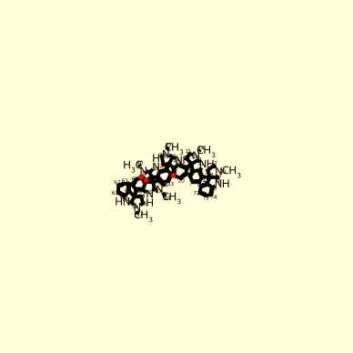 CN1CCC2(c3cccc4c3NC3N(C)CCC43c3cccc4c3NC3N(C)CCC43c3cccc4c3NC3N(C)CCC43C34CCN(C)C3Nc3c(C56CCN(C)C5Nc5ccccc56)cccc34)c3ccccc3NC12